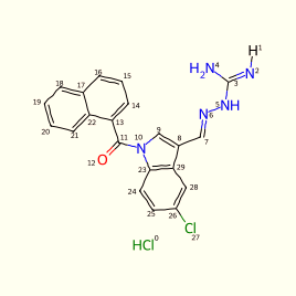 Cl.[H]/N=C(\N)NN=Cc1cn(C(=O)c2cccc3ccccc23)c2ccc(Cl)cc12